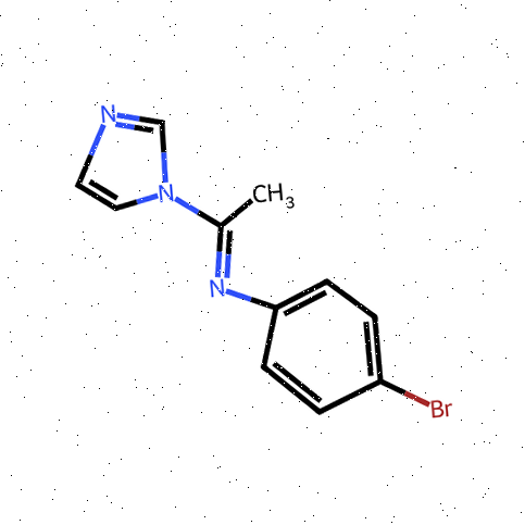 C/C(=N\c1ccc(Br)cc1)n1ccnc1